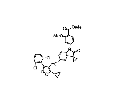 COC(=O)c1ccc(N2C(=O)C3(CC3)c3cc(OCc4c(-c5c(Cl)cccc5Cl)noc4C4CC4)ccc32)cc1OC